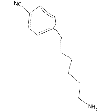 N#Cc1ccc(CCCCCCN)cc1